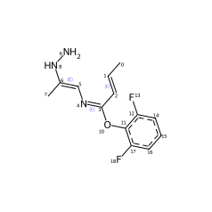 C/C=C/C(=N\C=C(/C)NN)Oc1c(F)cccc1F